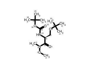 CON(C)C(=O)[C@H](COC(C)(C)C)NC(=O)OC(C)(C)C